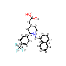 O=C(O)C[C@H]1CCN(Cc2cccc3ccccc23)[C@@H](C2C=CC(C(F)(F)F)=CC2)C1